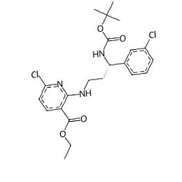 CCOC(=O)c1ccc(Cl)nc1NCC[C@H](NC(=O)OC(C)(C)C)c1cccc(Cl)c1